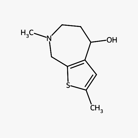 Cc1cc2c(s1)CN(C)CCC2O